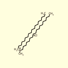 CCCCCCCCCCCCCCCCCC.CCCCCCCCCCCCCCCCCCNC.Cl